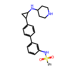 CC(C)S(=O)(=O)Nc1cccc(-c2ccc(C3CC3NC3CCNCC3)cc2)c1